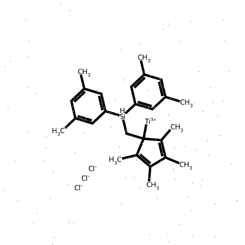 CC1=C(C)[C]([Ti+3])(C[SiH](c2cc(C)cc(C)c2)c2cc(C)cc(C)c2)C(C)=C1C.[Cl-].[Cl-].[Cl-]